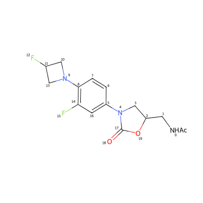 CC(=O)NCC1CN(c2ccc(N3CC(F)C3)c(F)c2)C(=O)O1